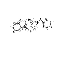 c1ccc(CN2C[C@@H]3COc4c(ccc5ccccc45)[C@@H]3C2)cc1